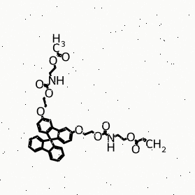 C=CC(=O)OCCNC(=O)OCCOc1ccc2c(c1)-c1cc(OCCOC(=O)NCCOC(C)=O)ccc1C21c2ccccc2-c2ccccc21